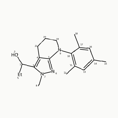 CCC(O)c1c2c(nn1C)N(c1c(C)cc(C)cc1C)CCC2